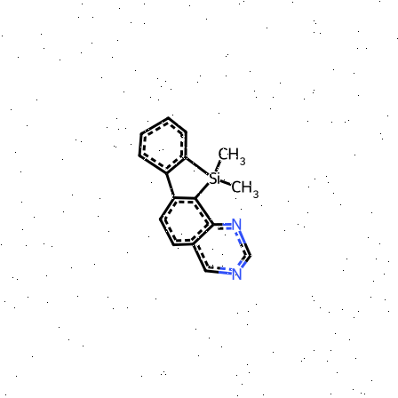 C[Si]1(C)c2ccccc2-c2ccc3cncnc3c21